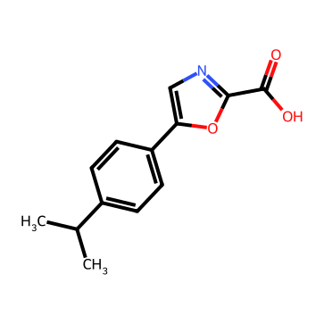 CC(C)c1ccc(-c2cnc(C(=O)O)o2)cc1